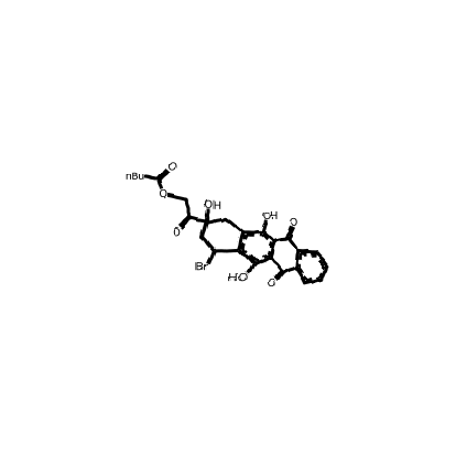 CCCCC(=O)OCC(=O)C1(O)Cc2c(O)c3c(c(O)c2C(Br)C1)C(=O)c1ccccc1C3=O